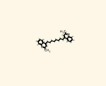 Cc1cc(CCC[CH]CCCCc2cc(C)nc3ccccc23)c2ccccc2n1